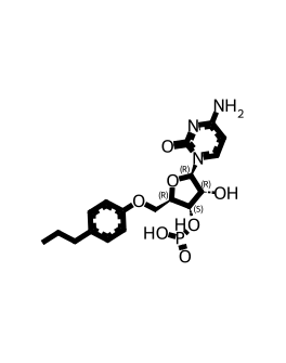 CCCc1ccc(OC[C@H]2O[C@@H](n3ccc(N)nc3=O)[C@H](O)[C@@H]2O[PH](=O)O)cc1